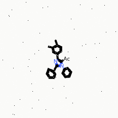 CC(=O)c1c(-c2ccc(C)c(C)c2)nc(-c2ccccc2)n1-c1ccccc1